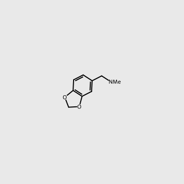 CNCc1ccc2c(c1)OCO2